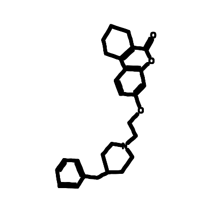 O=c1oc2cc(OCCN3CCC(Cc4ccccc4)CC3)ccc2c2c1CCCC2